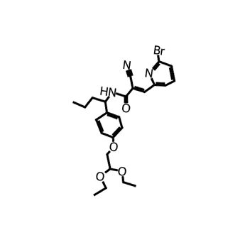 CCCC(NC(=O)/C(C#N)=C/c1cccc(Br)n1)c1ccc(OCC(OCC)OCC)cc1